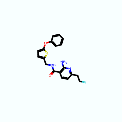 Nc1nc(CCF)ccc1C(=O)NCc1ccc(Oc2ccccc2)s1